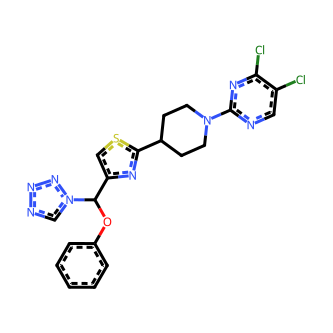 Clc1cnc(N2CCC(c3nc(C(Oc4ccccc4)n4cnnn4)cs3)CC2)nc1Cl